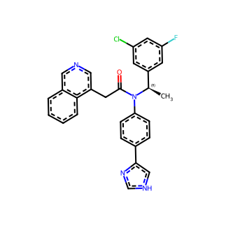 C[C@H](c1cc(F)cc(Cl)c1)N(C(=O)Cc1cncc2ccccc12)c1ccc(-c2c[nH]cn2)cc1